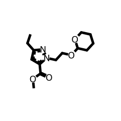 CCc1cc(C(=O)OC)n(CCOC2CCCCO2)n1